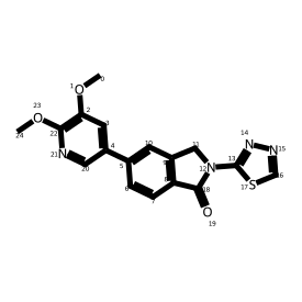 COc1cc(-c2ccc3c(c2)CN(c2nncs2)C3=O)cnc1OC